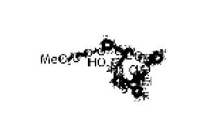 COCCOCCOCCOc1cccc(COc2ccc3cc2C[C@H](C(=O)O)Oc2ncnc4sc(-c5ccc(F)cc5)c(c24)-c2c(C)c(Cl)c(c(Cl)c2C)O[C@H](CN2CCN(C)CC2)CO3)c1